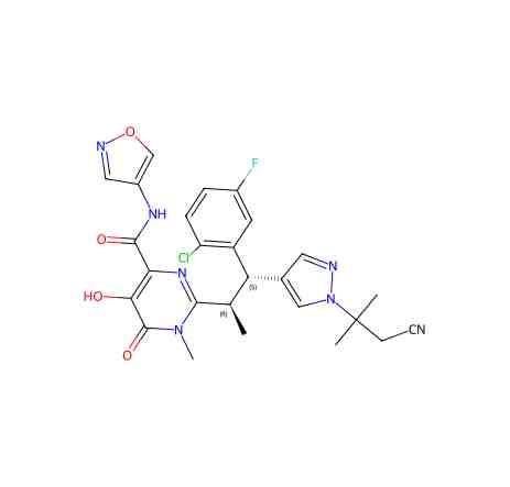 C[C@@H](c1nc(C(=O)Nc2cnoc2)c(O)c(=O)n1C)[C@@H](c1cnn(C(C)(C)CC#N)c1)c1cc(F)ccc1Cl